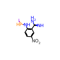 N=C(N)c1cc([N+](=O)[O-])ccc1NPI